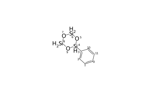 c1ccc([SiH]2O[SiH2]O[SiH2]O2)cc1